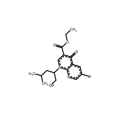 CCOC(=O)c1cn(C(CO)CC(C)C)c2ncc(Br)cc2c1=O